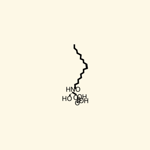 CCCCCCCC/C=C\CCCCCCCC(=O)N[C@@H](CO)COP(=O)(O)O